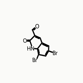 O=Cc1cc2cc(Br)cc(Br)c2[nH]c1=O